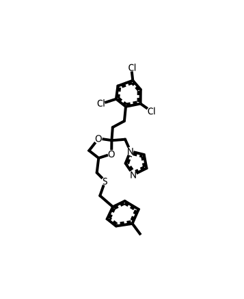 Cc1ccc(CSCC2COC(CCc3c(Cl)cc(Cl)cc3Cl)(Cn3ccnc3)O2)cc1